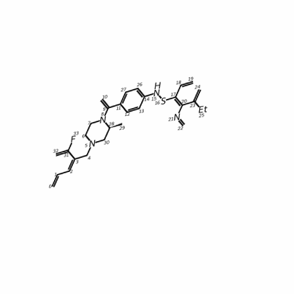 C=C/C=C(/CN1CCN(C(=C)c2ccc(NS/C(C=C)=C(\N=C)C(=C)CC)cc2)[C@@H](C)C1)C(=C)F